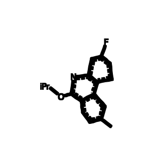 Cc1ccc2c(OC(C)C)nc3cc(F)ccc3c2c1